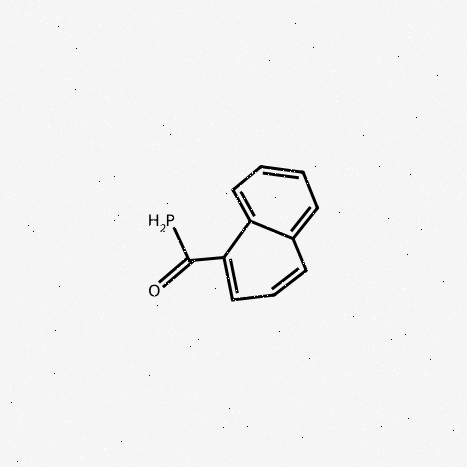 O=C(P)c1cccc2ccccc12